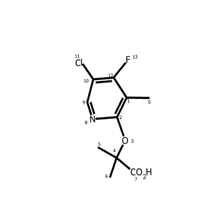 Cc1c(OC(C)(C)C(=O)O)ncc(Cl)c1F